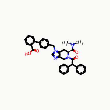 CN(C)C(=O)[C@@H]1Cc2c(ncn2Cc2ccc(-c3ccccc3C(=O)O)cc2)CN1C(=O)C(c1ccccc1)c1ccccc1